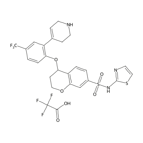 O=C(O)C(F)(F)F.O=S(=O)(Nc1nccs1)c1ccc2c(c1)OCCC2Oc1ccc(C(F)(F)F)cc1C1=CCNCC1